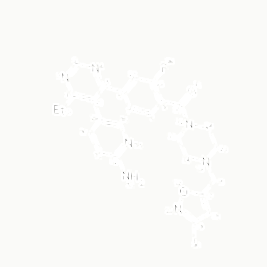 CCc1ncnc(-c2ccc(C(=O)N3CCN(Cc4cc(C)no4)CC3)c(F)c2)c1-c1ccc(N)nc1